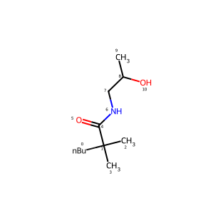 CCCCC(C)(C)C(=O)NCC(C)O